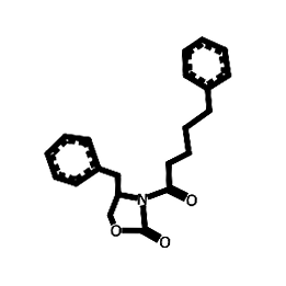 O=C(CCCCc1ccccc1)N1C(=O)OCC1Cc1ccccc1